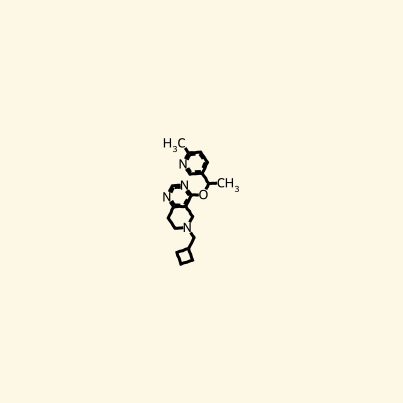 Cc1ccc(C(C)Oc2ncnc3c2CN(CC2CCC2)CC3)cn1